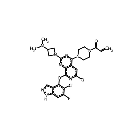 C=CC(=O)N1CCN(c2nc(N3CC(N(C)C)C3)nc3c(Oc4c(Cl)c(F)cc5[nH]ncc45)nc(Cl)cc23)CC1